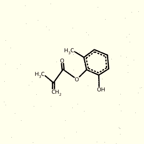 C=C(C)C(=O)Oc1c(C)cccc1O